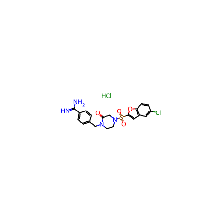 Cl.N=C(N)c1ccc(CN2CCN(S(=O)(=O)c3cc4cc(Cl)ccc4o3)CC2=O)cc1